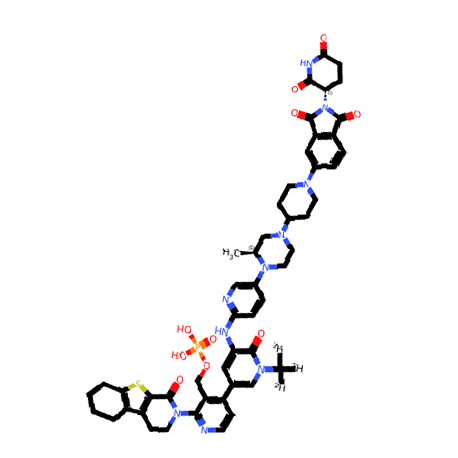 [2H]C([2H])([2H])n1cc(-c2ccnc(N3CCc4c(sc5c4CCCC5)C3=O)c2COP(=O)(O)O)cc(Nc2ccc(N3CCN(C4CCN(c5ccc6c(c5)C(=O)N([C@H]5CCC(=O)NC5=O)C6=O)CC4)C[C@@H]3C)cn2)c1=O